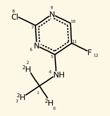 [2H]C([2H])([2H])Nc1nc(Cl)ncc1F